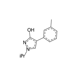 Cc1cccc(-c2cn(C(C)C)nc2O)c1